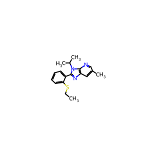 CCSc1ccccc1-c1nc2cc(C)cnc2n1C(C)C